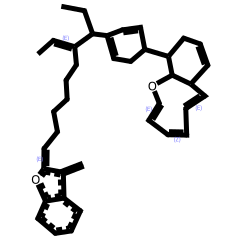 C=c1/c(=C\CCCCC/C(=C\C)C(CC)C2=CCC(C3CC=CC4/C=C/C=C\C=C\OC43)C=C2)oc2ccccc12